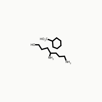 NCCCC(N)CCCO.O=C(O)C1CCCCC1